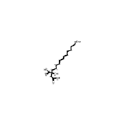 CCCCCCCCCCCCCCCCCCCCCCC(O)(CC(=O)S)C(=O)S